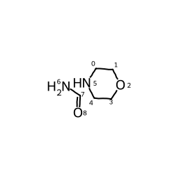 C1COCCN1.NC=O